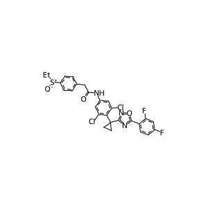 CC[S+]([O-])c1ccc(CC(=O)Nc2cc(Cl)c(C3(c4noc(-c5ccc(F)cc5F)n4)CC3)c(Cl)c2)cc1